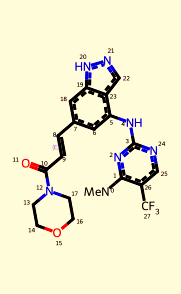 CNc1nc(Nc2cc(/C=C/C(=O)N3CCOCC3)cc3[nH]ncc23)ncc1C(F)(F)F